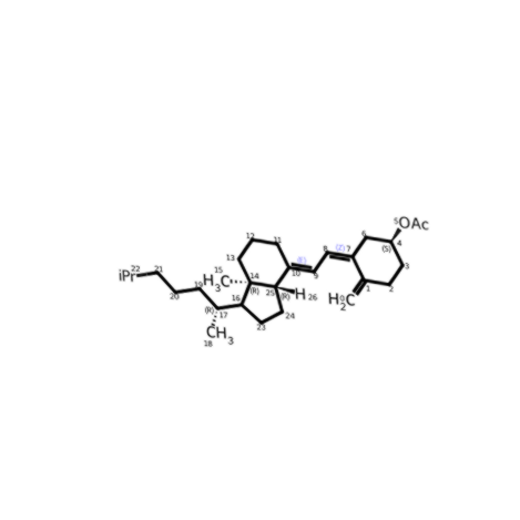 C=C1CC[C@H](OC(C)=O)C/C1=C/C=C1\CCC[C@]2(C)C([C@H](C)CCCC(C)C)CC[C@@H]12